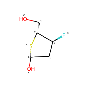 OC[C@H]1SC(O)C[C@@H]1F